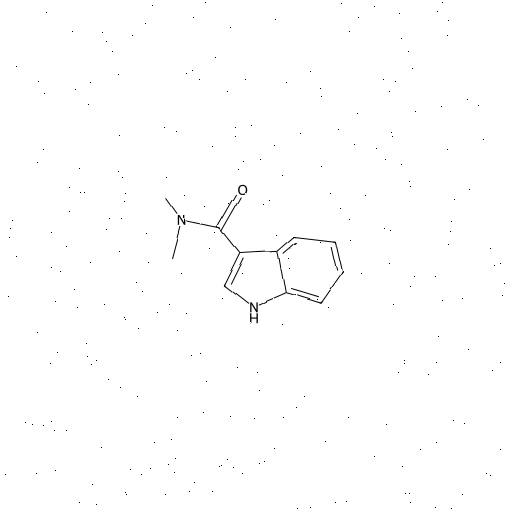 CN(C)C(=O)c1c[nH]c2ccccc12